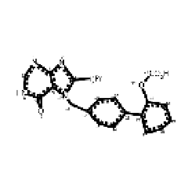 CCCc1nc2nc[nH]c(=O)c2n1Cc1ccc(-c2ccccc2OC(=O)O)cc1